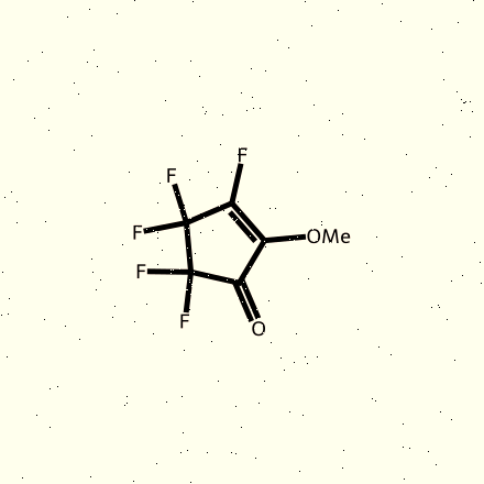 COC1=C(F)C(F)(F)C(F)(F)C1=O